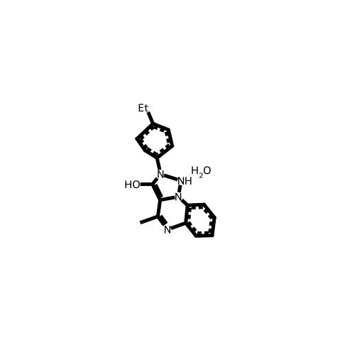 CCc1ccc(N2NN3C(=C2O)C(C)=Nc2ccccc23)cc1.O